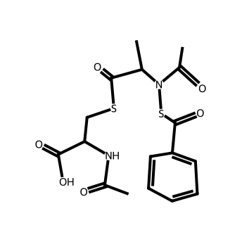 CC(=O)NC(CSC(=O)C(C)N(SC(=O)c1ccccc1)C(C)=O)C(=O)O